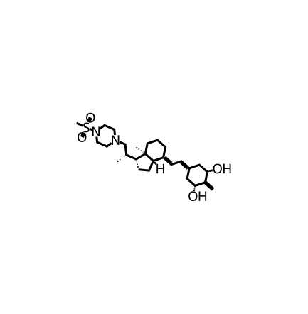 C=C1[C@H](O)CC(=C/C=C2\CCC[C@]3(C)[C@@H]([C@H](C)CN4CCN(S(C)(=O)=O)CC4)CC[C@@H]23)C[C@H]1O